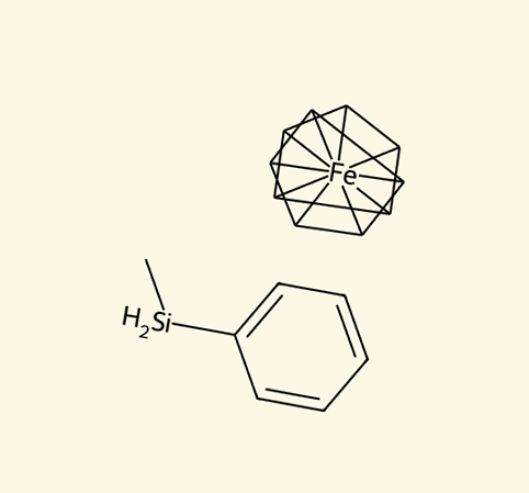 C[SiH2]c1ccccc1.[CH]12[CH]3[CH]4[CH]5[CH]1[Fe]23451678[CH]2[CH]1[CH]6[CH]7[CH]28